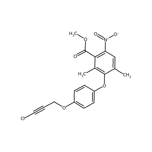 COC(=O)c1c([N+](=O)[O-])cc(C)c(Oc2ccc(OCC#CCl)cc2)c1C